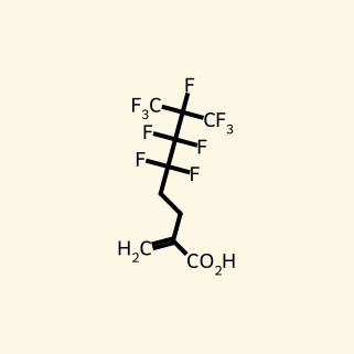 C=C(CCC(F)(F)C(F)(F)C(F)(C(F)(F)F)C(F)(F)F)C(=O)O